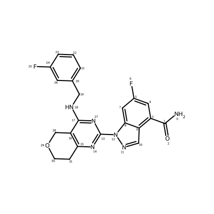 NC(=O)c1cc(F)cc2c1cnn2-c1nc2c(c(NCc3cccc(F)c3)n1)COCC2